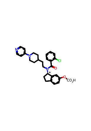 O=C(O)Oc1ccc2c(c1)[C@H](N(CCC1CCN(c3ccncc3)CC1)C(=O)c1ccccc1Cl)CC2